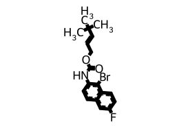 CC(C)(C)C=CCOC(=O)Nc1ccc2cc(F)ccc2c1Br